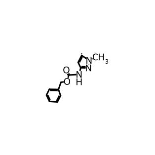 Cn1[c]cc(NC(=O)OCc2ccccc2)n1